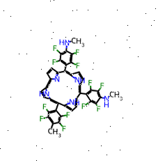 CNc1c(F)c(F)c(-c2c3nc(c4ccc([nH]4)c(-c4c(F)c(F)c(C)c(F)c4F)c4ccc([nH]4)c(-c4c(F)c(F)c(NC)c(F)c4F)c4ccc2[nH]4)C=C3)c(F)c1F